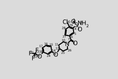 NS(=O)(=O)c1cc(C(=O)N2CCC(Oc3cccc(OC(F)(F)F)c3)CC2)ccc1Cl